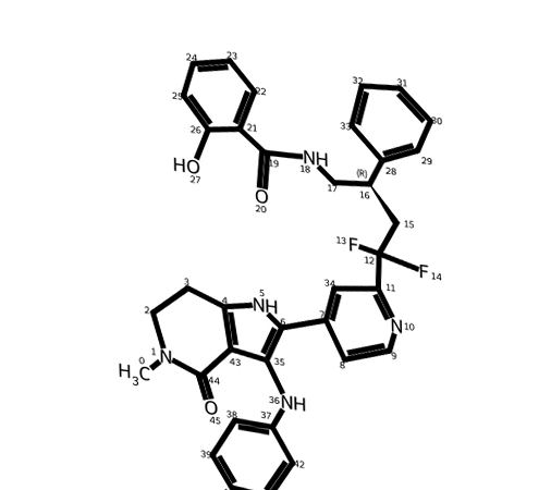 CN1CCc2[nH]c(-c3ccnc(C(F)(F)C[C@@H](CNC(=O)c4ccccc4O)c4ccccc4)c3)c(Nc3ccccc3)c2C1=O